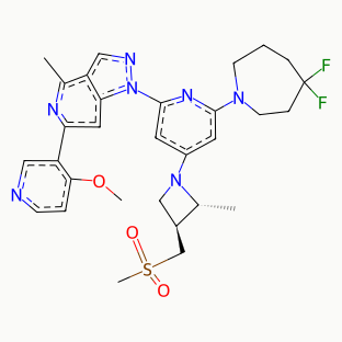 COc1ccncc1-c1cc2c(cnn2-c2cc(N3C[C@H](CS(C)(=O)=O)[C@H]3C)cc(N3CCCC(F)(F)CC3)n2)c(C)n1